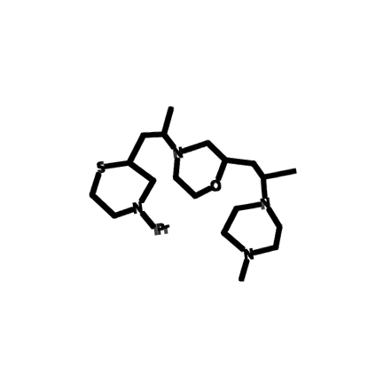 CC(C)N1CCSC(CC(C)N2CCOC(CC(C)N3CCN(C)CC3)C2)C1